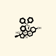 C#CC1(O)CC[C@H]2[C@@H]3CCC4=CC(O)CC[C@]4(CO[Si](c4ccccc4)(c4ccccc4)c4ccccc4)[C@@H]3CC[C@@]21C